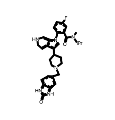 CC(C)N(C)C(=O)c1cc(F)ccc1-n1cc(C2CCN(Cc3ccc4[nH]c(=O)[nH]c4c3)CC2)c2c1=CNCC=2